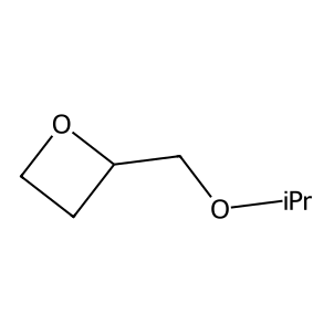 CC(C)OCC1CCO1